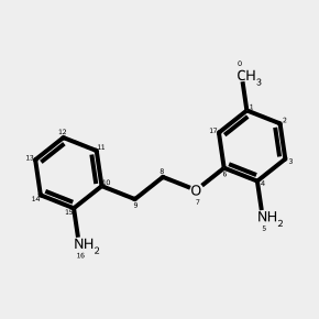 Cc1ccc(N)c(OCCc2ccccc2N)c1